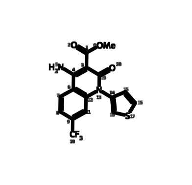 COC(=O)c1c(N)c2ccc(C(F)(F)F)cc2n(-c2ccsc2)c1=O